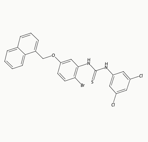 S=C(Nc1cc(Cl)cc(Cl)c1)Nc1cc(OCc2cccc3ccccc23)ccc1Br